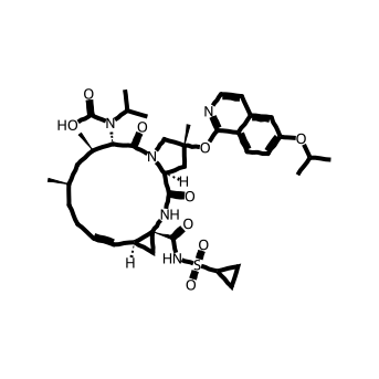 CC(C)Oc1ccc2c(O[C@]3(C)C[C@H]4C(=O)N[C@]5(C(=O)NS(=O)(=O)C6CC6)C[C@H]5/C=C\CC[C@@H](C)C[C@@H](C)[C@H](N(C(=O)O)C(C)C)C(=O)N4C3)nccc2c1